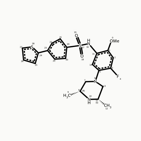 COc1cc(F)c(N2C[C@@H](C)N[C@@H](C)C2)cc1NS(=O)(=O)c1ccc(-c2cccs2)cc1